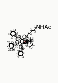 CC(=O)NCCCCCCOC1C(OCc2ccccc2)C(OCc2ccccc2)C(OCc2ccccc2)C2(O)C3(CCCCC3)C12O